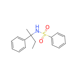 CCC(C)(NS(=O)(=O)c1ccccc1)c1ccccc1